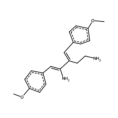 COc1ccc(C=C(N)C(=Cc2ccc(OC)cc2)CCN)cc1